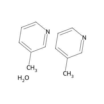 Cc1cccnc1.Cc1cccnc1.O